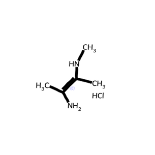 CN/C(C)=C(\C)N.Cl